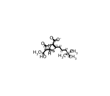 C[C@@H](O)[C@H]1C(=O)N2C(C(=O)[O-])=C(CCC[N+](C)(C)C)S[C@H]12